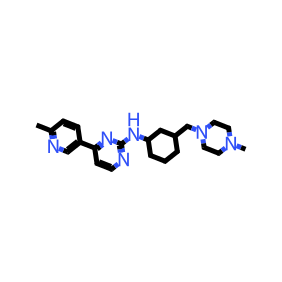 Cc1ccc(-c2ccnc(NC3CCCC(CN4CCN(C)CC4)C3)n2)cn1